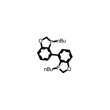 CCCCP1COc2cccc(-c3cccc4c3P(CCCC)CO4)c21